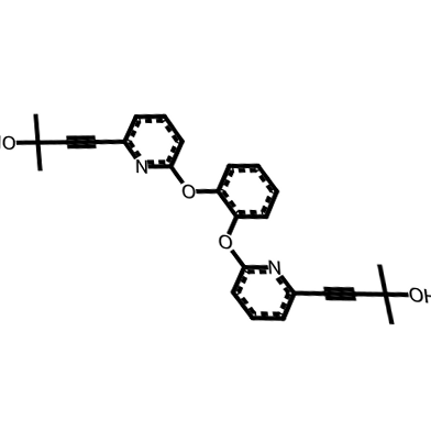 CC(C)(O)C#Cc1cccc(Oc2ccccc2Oc2cccc(C#CC(C)(C)O)n2)n1